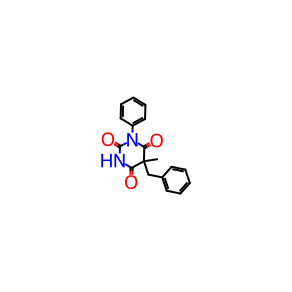 CC1(Cc2ccccc2)C(=O)NC(=O)N(c2ccccc2)C1=O